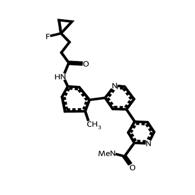 CNC(=O)c1cc(-c2ccnc(-c3cc(NC(=O)CCC4(F)CC4)ccc3C)c2)ccn1